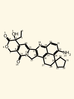 CC[C@@]1(O)C(=O)OCc2c1cc1n(c2=O)Cc2c-1nc1ccc(N)c3c1c2CCC31CCCC1